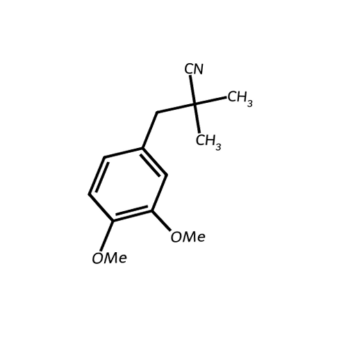 COc1ccc(CC(C)(C)C#N)cc1OC